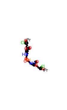 CC(C)Oc1ccc(CCCOc2ccc(CNCCCO[PH](=O)OCCCNCc3ccc(OCCCc4ccc(OC(C)C)c(Cl)c4)c(-c4ccoc4)c3)cc2-c2ccoc2)cc1Cl